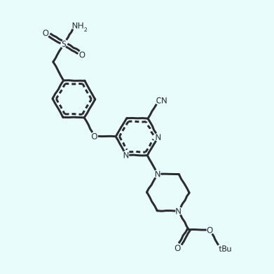 CC(C)(C)OC(=O)N1CCN(c2nc(C#N)cc(Oc3ccc(CS(N)(=O)=O)cc3)n2)CC1